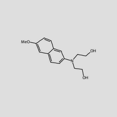 COc1ccc2cc(N(CCO)CCO)ccc2c1